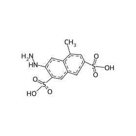 Cc1cc(S(=O)(=O)O)cc2cc(S(=O)(=O)O)c(NN)cc12